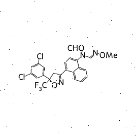 CON=CN(C=O)c1ccc(C2=NOC(c3cc(Cl)cc(Cl)c3)(C(F)(F)F)C2)c2ccccc12